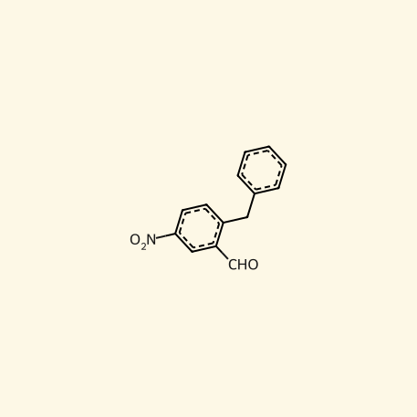 O=Cc1cc([N+](=O)[O-])ccc1Cc1ccccc1